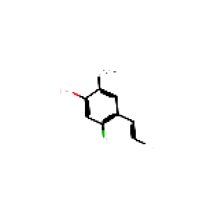 COc1cc(C=CC(C)=O)c(Cl)cc1O